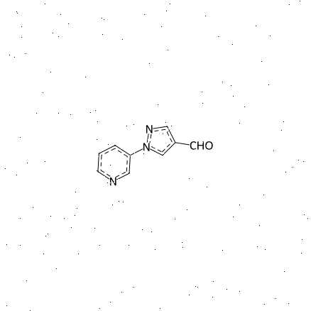 O=Cc1cnn(-c2cccnc2)c1